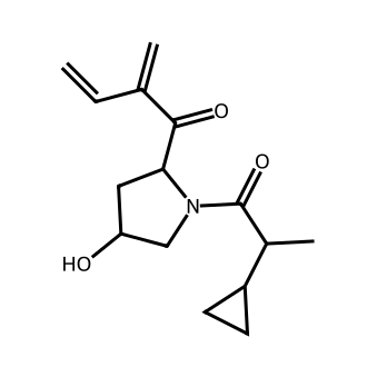 C=CC(=C)C(=O)C1CC(O)CN1C(=O)C(C)C1CC1